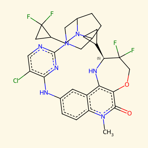 Cn1c(=O)c2c(c3cc(Nc4nc(N5CC6CCC(C5)N6CC5CC5(F)F)ncc4Cl)ccc31)N[C@@H](C1CC1)C(F)(F)CO2